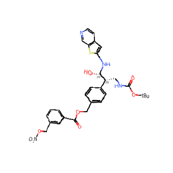 CC(C)(C)OC(=O)NC[C@H](c1ccc(COC(=O)c2cccc(CO[N+](=O)[O-])c2)cc1)[C@H](O)Nc1cc2ccncc2s1